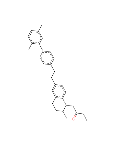 CCC(=O)CC1c2ccc(CCc3ccc(-c4cc(C)ccc4C)cc3)cc2CCC1C